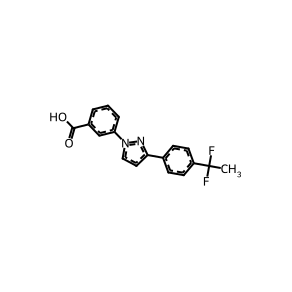 CC(F)(F)c1ccc(-c2ccn(-c3cccc(C(=O)O)c3)n2)cc1